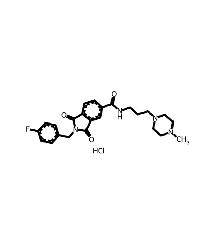 CN1CCN(CCCNC(=O)c2ccc3c(c2)C(=O)N(Cc2ccc(F)cc2)C3=O)CC1.Cl